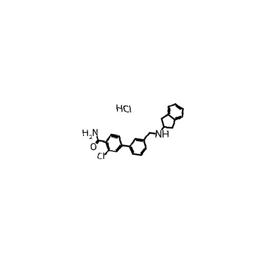 Cl.NC(=O)c1ccc(-c2cccc(CNC3Cc4ccccc4C3)c2)cc1Cl